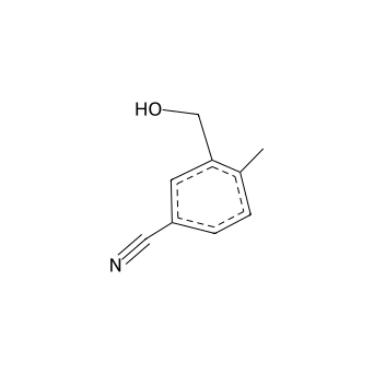 Cc1ccc(C#N)cc1CO